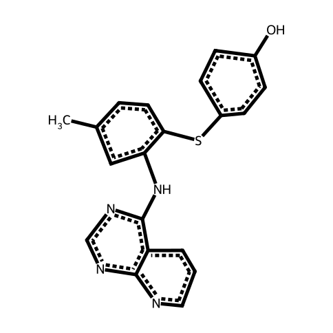 Cc1ccc(Sc2ccc(O)cc2)c(Nc2ncnc3ncccc23)c1